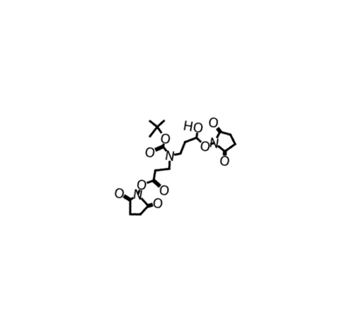 CC(C)(C)OC(=O)N(CCC(=O)ON1C(=O)CCC1=O)CCC(O)ON1C(=O)CCC1=O